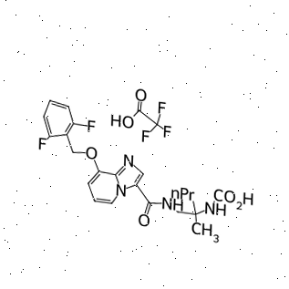 CCCC(C)(CNC(=O)c1cnc2c(OCc3c(F)cccc3F)cccn12)NC(=O)O.O=C(O)C(F)(F)F